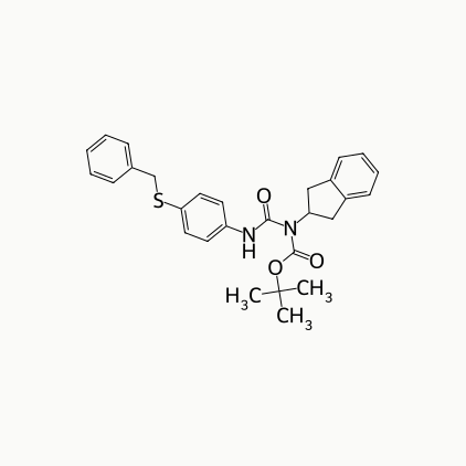 CC(C)(C)OC(=O)N(C(=O)Nc1ccc(SCc2ccccc2)cc1)C1Cc2ccccc2C1